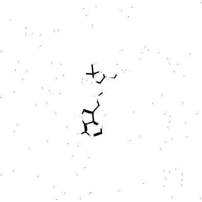 CSC[C@@H]1OC(C)(C)O[C@H]1CNCc1c[nH]c2c(O)ncnc12